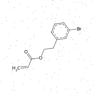 C=CC(=O)OCCc1cccc(Br)c1